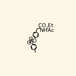 CCOC(=O)C(Cc1ccc(OS(=O)(=O)c2ccc(C)cc2)cc1)NC(C)=O